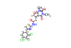 Cn1c(=O)c2c(CC(=O)Nc3nc(-c4ccc(Cl)c(Cl)c4Cl)cs3)coc2n(C)c1=O